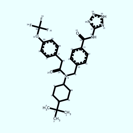 CC(C)(C)C1CCC(N(Cc2ccc(C(=O)Nc3nn[nH]n3)cc2)C(=O)Cc2ccc(OC(F)(F)F)cc2)CC1